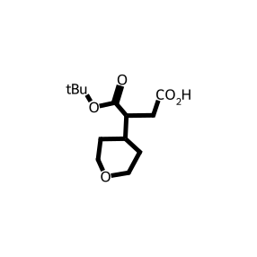 CC(C)(C)OC(=O)C(CC(=O)O)C1CCOCC1